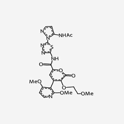 COCCOc1c(-c2c(OC)ccnc2OC)cc(C(=O)Nc2nnc(-n3nccc3NC(C)=O)s2)oc1=O